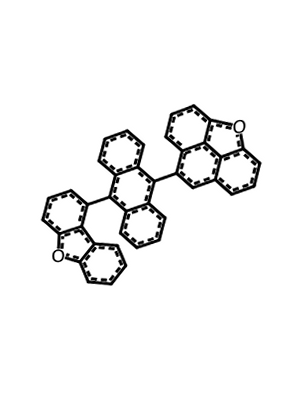 c1ccc2c(c1)oc1cccc(-c3c4ccccc4c(-c4cc5cccc6oc7cccc4c7c56)c4ccccc34)c12